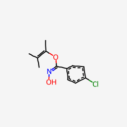 CC(C)=C(C)O/C(=N/O)c1ccc(Cl)cc1